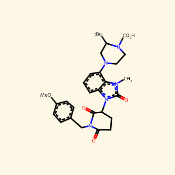 COc1ccc(CN2C(=O)CCC(n3c(=O)n(C)c4c(N5CCN(C(=O)O)C(C(C)(C)C)C5)cccc43)C2=O)cc1